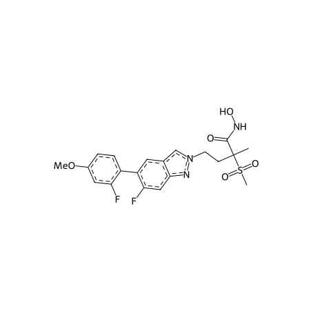 COc1ccc(-c2cc3cn(CCC(C)(C(=O)NO)S(C)(=O)=O)nc3cc2F)c(F)c1